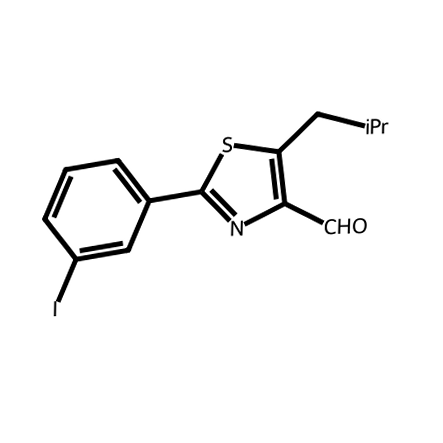 CC(C)Cc1sc(-c2cccc(I)c2)nc1C=O